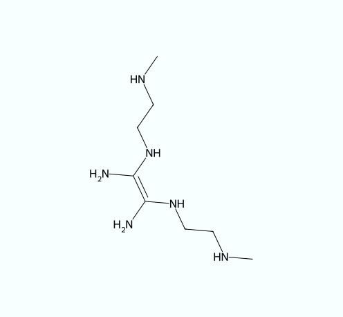 CNCCN/C(N)=C(/N)NCCNC